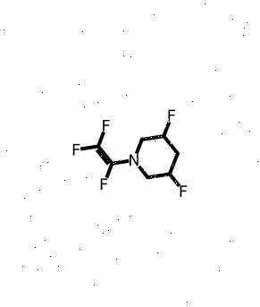 FC(F)=C(F)N1CC(F)CC(F)C1